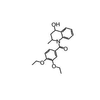 CCOc1ccc(C(=O)N2c3ccccc3C(O)CC2C)cc1OCC